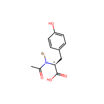 CC(=O)N(Br)[C@@H](Cc1ccc(O)cc1)C(=O)O